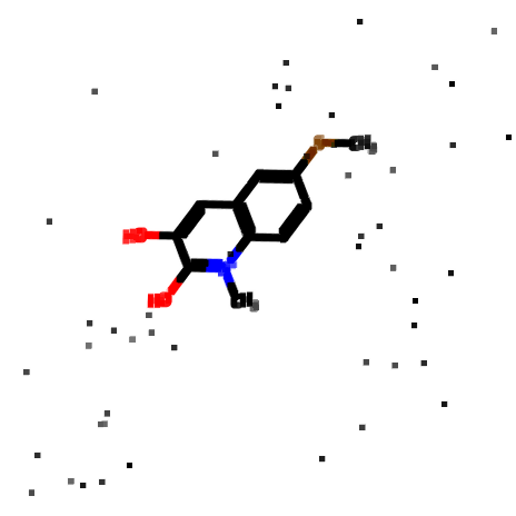 CSc1ccc2c(c1)cc(O)c(O)[n+]2C